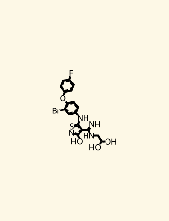 N=C(NCC(O)O)c1c(O)nsc1Nc1ccc(Oc2ccc(F)cc2)c(Br)c1